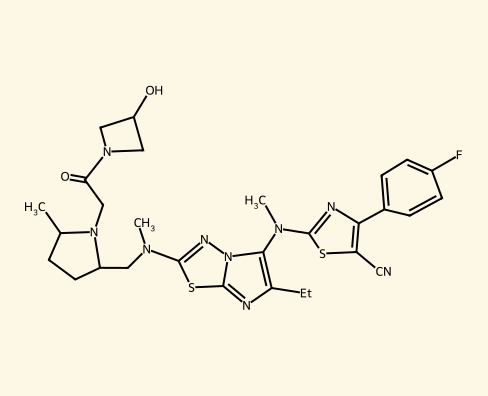 CCc1nc2sc(N(C)CC3CCC(C)N3CC(=O)N3CC(O)C3)nn2c1N(C)c1nc(-c2ccc(F)cc2)c(C#N)s1